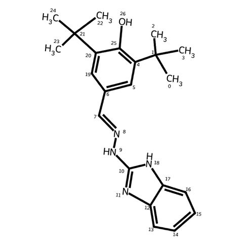 CC(C)(C)c1cc(/C=N/Nc2nc3ccccc3[nH]2)cc(C(C)(C)C)c1O